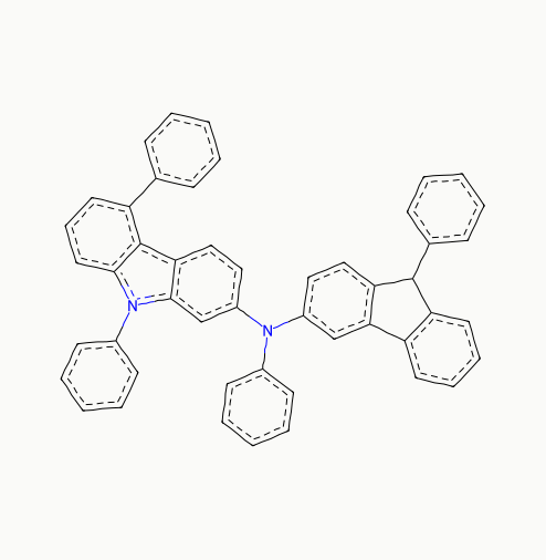 c1ccc(-c2cccc3c2c2ccc(N(c4ccccc4)c4ccc5c(c4)-c4ccccc4C5c4ccccc4)cc2n3-c2ccccc2)cc1